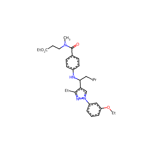 CCOC(=O)CCN(C)C(=O)c1ccc(NC(CC(C)C)c2cn(-c3cccc(OCC)c3)nc2CC)cc1